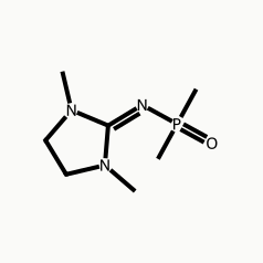 CN1CCN(C)C1=NP(C)(C)=O